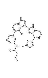 CCCC(=O)Nc1cncc(-c2ccc3[nH]nc(-c4nc5c(-c6ccc(C)s6)nccc5[nH]4)c3c2F)c1